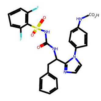 O=C(O)Nc1ccc(-n2ccnc2C(Cc2ccccc2)NC(=O)NS(=O)(=O)c2c(F)cccc2F)cc1